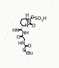 CC(C)(C)OC(=O)NCC(=O)NC(=N)[C@@H]1CC[C@@H]2CN1C(=O)N2OS(=O)(=O)O